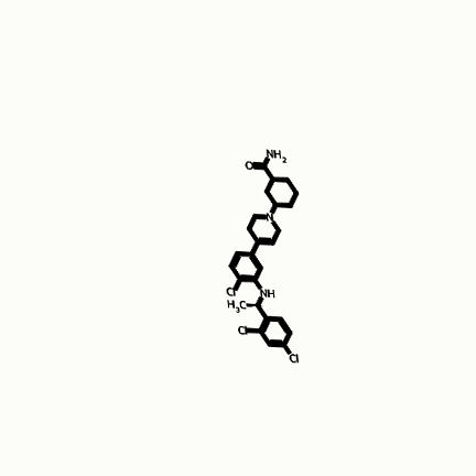 C[C@@H](Nc1cc(C2=CCN(C3CCCC(C(N)=O)C3)CC2)ccc1Cl)c1ccc(Cl)cc1Cl